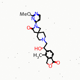 COc1nccc(N2CC3(CCN(C[C@H](O)c4ccc5c(c4C)COC5=O)CC3)CC2=O)n1